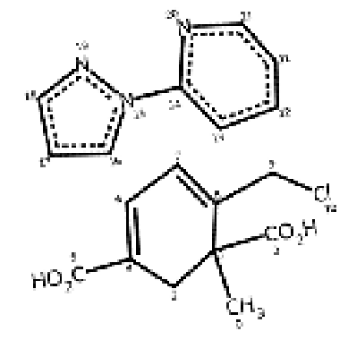 CC1(C(=O)O)CC(C(=O)O)=CC=C1CCl.c1ccc(-n2cccn2)nc1